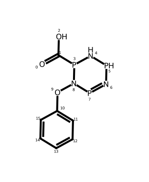 O=C(O)p1[nH][pH]npn1Oc1ccccc1